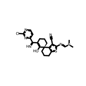 CN(C)/C=N/c1sc2c(c1C#N)[C@]1(CCCC(C(=N)c3ccnc(Cl)n3)=C1O)CCC2